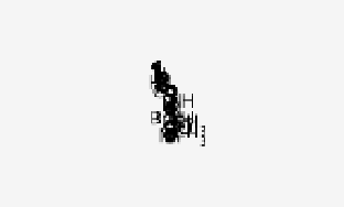 CP(C)(=O)c1c(Nc2nc(Nc3ccc4c(c3)OC[C@H]3CN(C5CC5)CCN43)ncc2Br)ccc2nccnc12